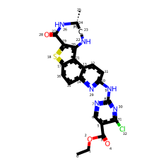 CCOC(=O)c1cnc(Nc2ccc3c(ccc4sc5c(c43)NC[C@@H](C)NC5=O)n2)nc1Cl